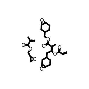 C=C(C)C(=O)OCC1CO1.C=CC(=O)OC(CC1CCC2OC2C1)=C(C)C(=O)OCC1CCC2OC2C1